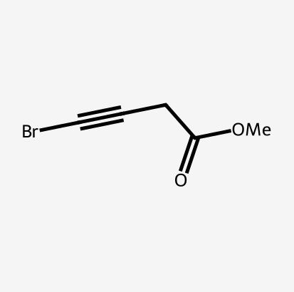 COC(=O)CC#CBr